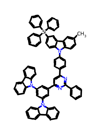 Cc1ccc2c(c1)c1cc([Si](c3ccccc3)(c3ccccc3)c3ccccc3)ccc1n2-c1ccc(-c2cc(-c3cc(-n4c5ccccc5c5ccccc54)cc(-n4c5ccccc5c5ccccc54)c3)nc(-c3ccccc3)n2)cc1